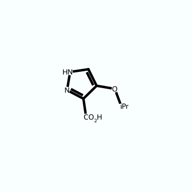 CC(C)Oc1c[nH]nc1C(=O)O